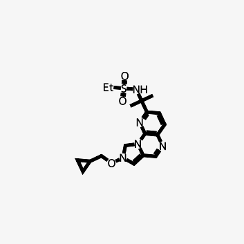 CCS(=O)(=O)NC(C)(C)c1ccc2c(n1)N1CN(OCC3CC3)C=C1C=N2